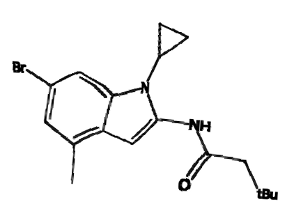 Cc1cc(Br)cc2c1cc(NC(=O)CC(C)(C)C)n2C1CC1